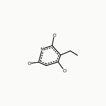 CCc1c(Cl)cc(Cl)nc1Cl